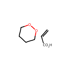 C1CCOOC1.C=CC(=O)O